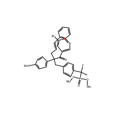 CSc1ccc(C(C/C=C/c2ccccc2)(Cc2ccc(C(F)(F)P(=O)(OC(C)(C)C)OC(C)(C)C)cc2)C(=O)c2cncc(Br)c2)cc1